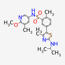 COc1ncc(NS(=O)(=O)c2cc(-c3sc(NC(C)C)nc3C)ccc2C)cc1C